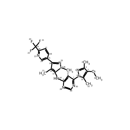 COc1c(C)nn(-c2cc(Nc3c(C)c(-c4ccc(C(F)(F)F)nc4)nn3C)ncn2)c1C